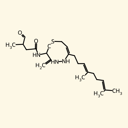 C=C1NN/C(CC/C=C(\C)CCC=C(C)C)=C\CSCC1NC(=O)CC(C)C=O